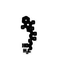 CCC(O)COC(=O)CC(=O)c1cc2c(o1)C(=O)c1ccccc1C2=O